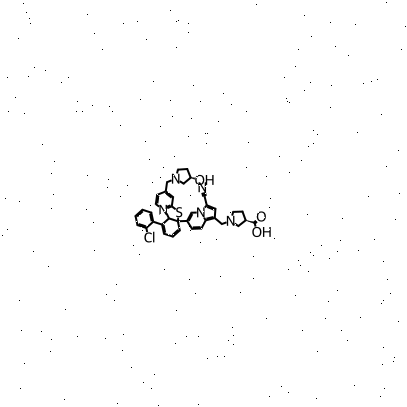 CC1C(c2ccccc2Cl)=CC=CC1(Sc1cc(CN2CC[C@@H](O)C2)ccn1)c1ccc2c(CN3CC[C@@H](C(=O)O)C3)cc(C#N)n2c1